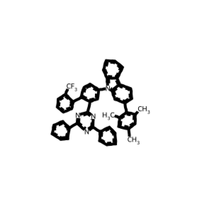 Cc1cc(C)c(-c2ccc3c4ccccc4n(-c4ccc(-c5ccccc5C(F)(F)F)c(-c5nc(-c6ccccc6)nc(-c6ccccc6)n5)c4)c3c2)c(C)c1